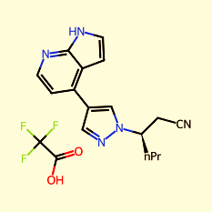 CCC[C@H](CC#N)n1cc(-c2ccnc3[nH]ccc23)cn1.O=C(O)C(F)(F)F